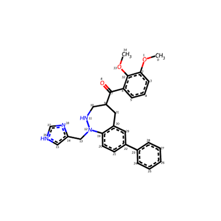 COc1cccc(C(=O)C2CNN(Cc3c[nH]cn3)c3ccc(-c4ccccc4)cc3C2)c1OC